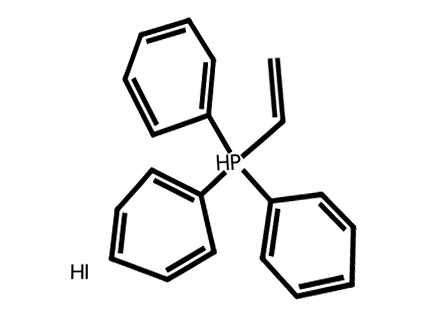 C=C[PH](c1ccccc1)(c1ccccc1)c1ccccc1.I